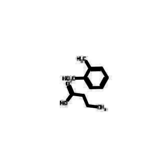 CCCC(=O)O.Cc1ccccc1C(=O)O